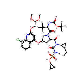 CCC1CC1N(C(=O)C1CC(Oc2cc(OCC(OC)OC)nc3c(Cl)cccc23)CN1C(=O)C(NC(=O)OC(C)(C)C)C(C)(C)C)C(=O)N(C)S(=O)(=O)OC1CC1